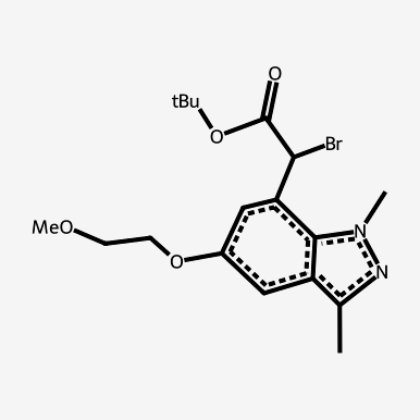 COCCOc1cc(C(Br)C(=O)OC(C)(C)C)c2c(c1)c(C)nn2C